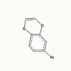 CC(=O)c1ccc2c(c1)OC=CO2